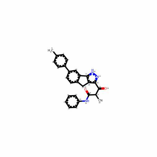 Cc1ccc(-c2ccc3c(c2)-c2[nH]nc(C(=O)C(C#N)C(=O)Nc4ccccc4)c2C3)cc1